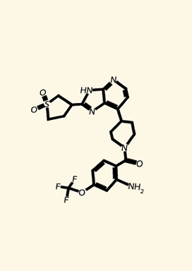 Nc1cc(OC(F)(F)F)ccc1C(=O)N1CCC(c2ccnc3[nH]c(C4CCS(=O)(=O)C4)nc23)CC1